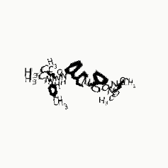 COc1cc(OC)nc(Oc2ccccc2C(=O)N2CCC(Cc3ccccc3NC(=O)Nc3cc(C(C)(C)C)nn3-c3ccc(C)cc3)CC2)n1